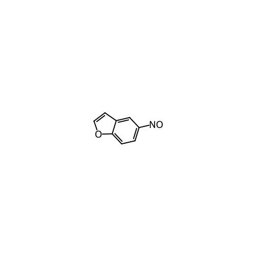 O=Nc1ccc2occc2c1